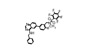 CN(Cc1cc(-c2ccc3ncnc(NCc4ccccc4)c3c2)ccc1F)S(=O)(=O)c1c(F)c(F)c(F)c(F)c1F